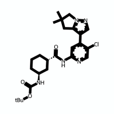 CC1(C)Cc2c(-c3cc(NC(=O)[C@H]4CCC[C@H](NC(=O)OC(C)(C)C)C4)ncc3Cl)cnn2C1